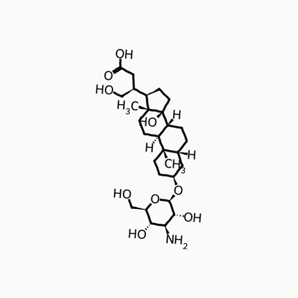 C[C@]12CC[C@H](O[C@@H]3O[C@H](CO)[C@@H](O)[C@H](N)[C@H]3O)C[C@H]1CC[C@@H]1[C@@H]2CC[C@]2(C)[C@@H]([C@@H](CO)CC(=O)O)CC[C@]12O